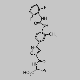 Cc1cc(-c2cc(C(=O)NC(C(=O)O)C(C)C)on2)ccc1NC(=O)Nc1c(F)cccc1F